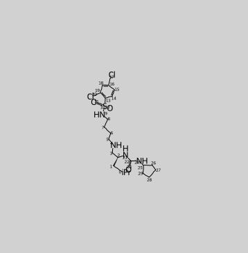 CC(C)C[C@@H](CNCCCCNS(=O)(=O)c1ccc(Cl)cc1Cl)NC(=O)NC1CCCC1